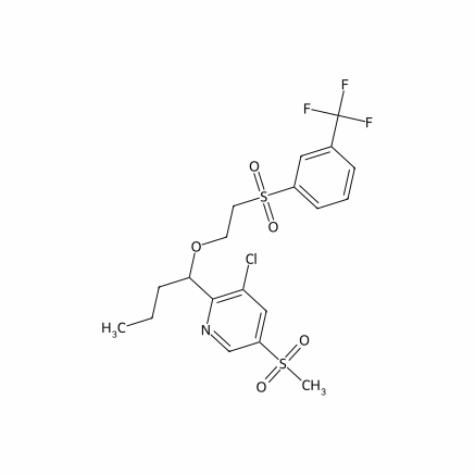 CCCC(OCCS(=O)(=O)c1cccc(C(F)(F)F)c1)c1ncc(S(C)(=O)=O)cc1Cl